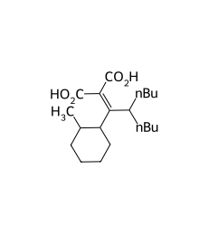 CCCCC(CCCC)C(=C(C(=O)O)C(=O)O)C1CCCCC1C